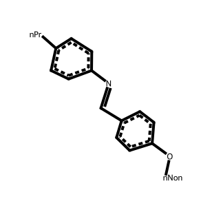 CCCCCCCCCOc1ccc(C=Nc2ccc(CCC)cc2)cc1